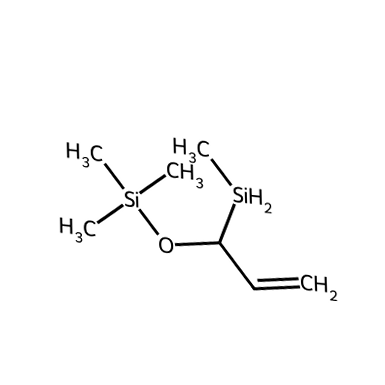 C=CC(O[Si](C)(C)C)[SiH2]C